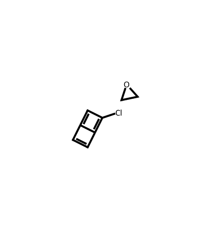 C1CO1.Clc1cc2ccc1-2